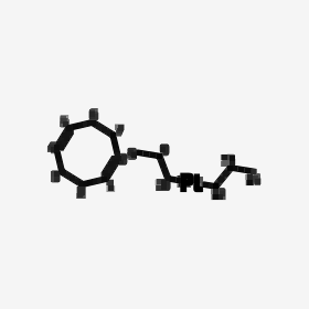 C1=CCCC=CCC1.CC[CH2][Pt][CH2]CC